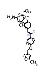 Cc1cc(COc2cnc(/C(F)=C/c3ccc(F)c([C@@]4(C)N=C(N)S[C@@]5(CO)CC54)c3)cn2)no1